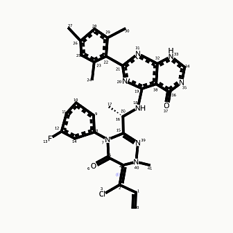 C=C/C(Cl)=C1/C(=O)N(c2cccc(F)c2)C([C@H](C)Nc2nc(-c3c(C)cc(C)cc3C)nc3[nH]cnc(=O)c23)=NN1C